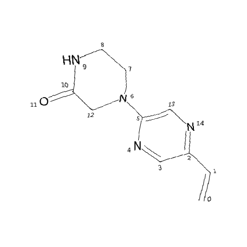 C=Cc1cnc(N2CCNC(=O)C2)cn1